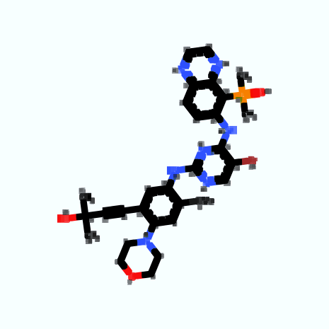 COc1cc(N2CCOCC2)c(C#CC(C)(C)O)cc1Nc1ncc(Br)c(Nc2ccc3nccnc3c2P(C)(C)=O)n1